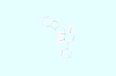 COC1(Cc2cc3ccccc3[nH]2)C(=O)C=CC(c2ccccc2)C1=O